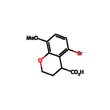 COc1ccc(Br)c2c1OCCC2C(=O)O